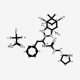 CC1(C)[C@@H]2C[C@H]3OB(C(Cc4ccccc4)NC(=O)OC[C@H]4CCCN4)O[C@@]3(C)[C@H]1C2.O=C(O)C(F)(F)F